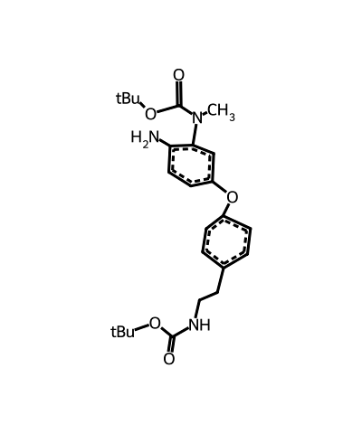 CN(C(=O)OC(C)(C)C)c1cc(Oc2ccc(CCNC(=O)OC(C)(C)C)cc2)ccc1N